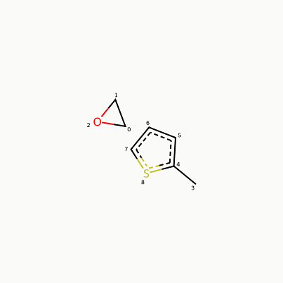 C1CO1.Cc1cccs1